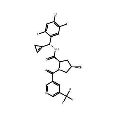 O=C(N[C@H](C1=CC1)c1cc(F)c(Cl)cc1F)[C@H]1C[C@@H](O)CN1C(=O)c1cncc(C(F)(F)F)c1